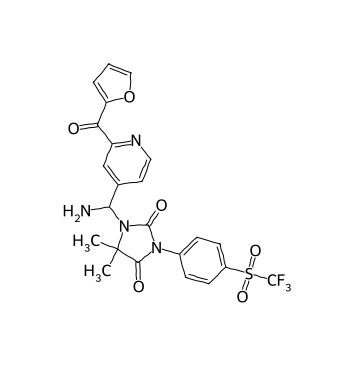 CC1(C)C(=O)N(c2ccc(S(=O)(=O)C(F)(F)F)cc2)C(=O)N1C(N)c1ccnc(C(=O)c2ccco2)c1